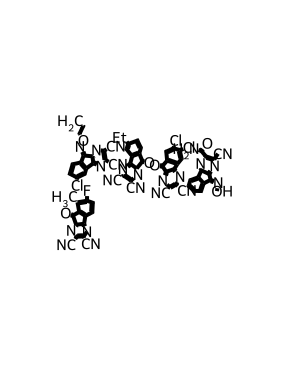 C=CCON=C1c2ccc(Cl)cc2-c2nc(C#N)c(C#N)nc21.CCc1ccc2c(c1)-c1nc(C#N)c(C#N)nc1C2=O.Cc1c(F)ccc2c1C(=O)c1nc(C#N)c(C#N)nc1-2.N#Cc1nc2c(nc1C#N)-c1cc(Cl)c(Cl)cc1C2=O.N#Cc1nc2c(nc1C(N)=O)-c1ccccc1C2=NO